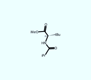 COC(=O)[C@@H](NC(=O)C(C)C)C(C)(C)C